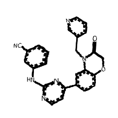 N#Cc1cccc(Nc2nccc(-c3ccc4c(c3)N(Cc3cccnc3)C(=O)CO4)n2)c1